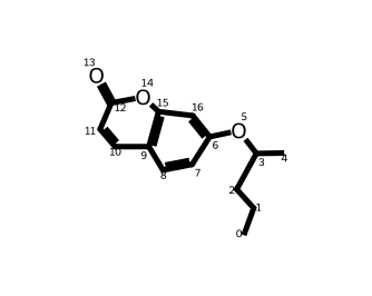 CCCC(C)Oc1ccc2ccc(=O)oc2c1